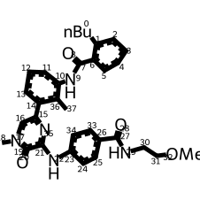 CCCCc1ccccc1C(=O)Nc1cccc(-c2cn(C)c(=O)c(Nc3ccc(C(=O)NCCOC)cc3)n2)c1C